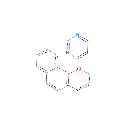 C1=Cc2ccc3ccccc3c2OC1.c1cncnc1